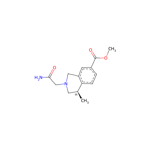 COC(=O)c1ccc2c(c1)CN(CC(N)=O)C[C@@H]2C